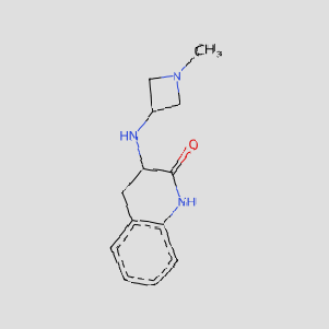 CN1CC(NC2Cc3ccccc3NC2=O)C1